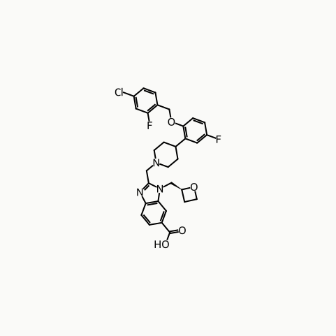 O=C(O)c1ccc2nc(CN3CCC(c4cc(F)ccc4OCc4ccc(Cl)cc4F)CC3)n(C[C@@H]3CCO3)c2c1